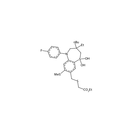 CCCCC1(CC)CN(c2ccc(F)cc2)c2cc(SC)c(CSCC(=O)OCC)cc2S(O)(O)C1